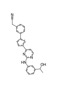 CC(O)c1cccc(Nc2nccc(-c3ccc(-c4cccc(CC#N)c4)s3)n2)c1